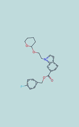 O=C(OCc1ccc(F)cc1)c1ccc2ccn(CCOC3CCCCO3)c2c1